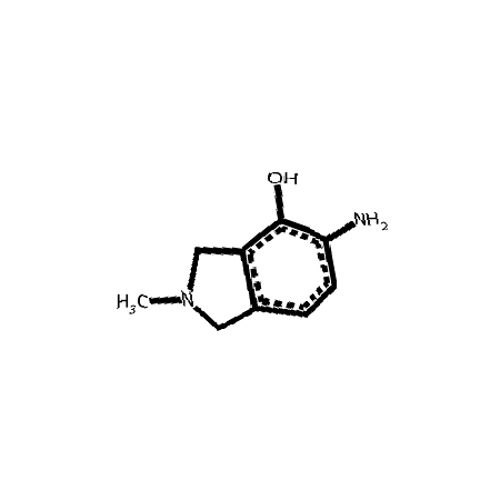 CN1Cc2ccc(N)c(O)c2C1